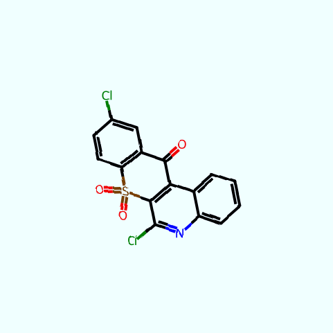 O=C1c2cc(Cl)ccc2S(=O)(=O)c2c(Cl)nc3ccccc3c21